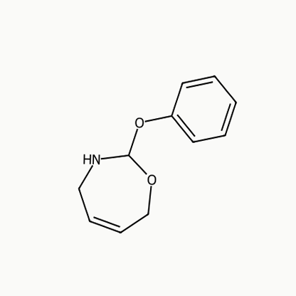 C1=CCOC(Oc2ccccc2)NC1